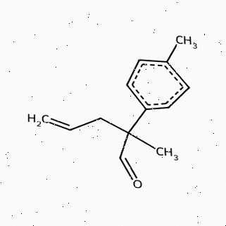 C=CCC(C)(C=O)c1ccc(C)cc1